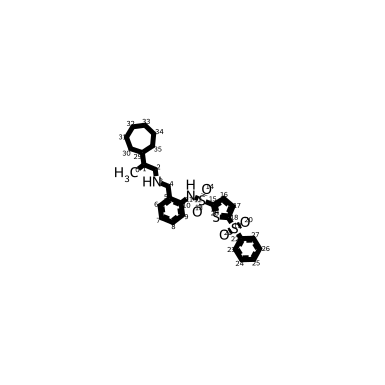 CC(CNCc1ccccc1NS(=O)(=O)c1ccc(S(=O)(=O)c2ccccc2)s1)C1CCCCCC1